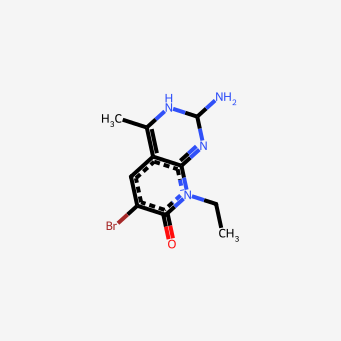 CCn1c(=O)c(Br)cc2c1=NC(N)NC=2C